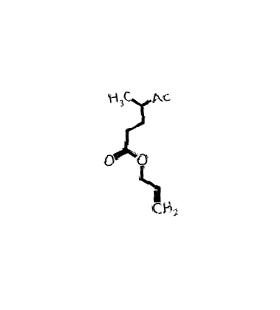 C=CCOC(=O)CCC(C)C(C)=O